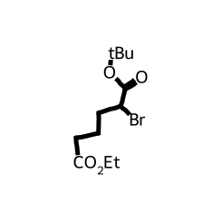 CCOC(=O)CCCC(Br)C(=O)OC(C)(C)C